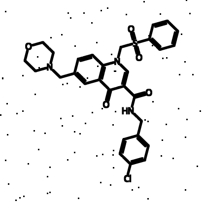 O=C(NCc1ccc(Cl)cc1)c1cn(CS(=O)(=O)c2ccccc2)c2ccc(CN3CCOCC3)cc2c1=O